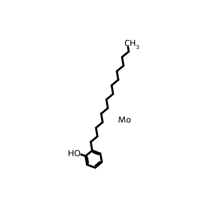 CCCCCCCCCCCCCCCc1ccccc1O.[Mo]